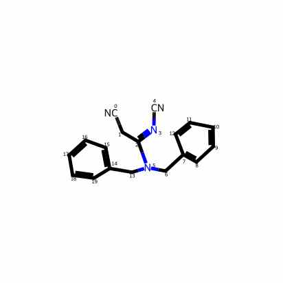 N#CCC(=NC#N)N(Cc1ccccc1)Cc1ccccc1